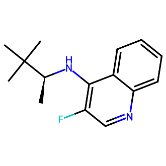 C[C@H](Nc1c(F)cnc2ccccc12)C(C)(C)C